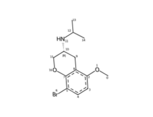 COc1ccc(Br)c2c1C[C@@H](NC(C)C)CO2